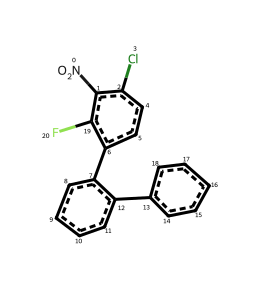 O=[N+]([O-])c1c(Cl)ccc(-c2ccccc2-c2ccccc2)c1F